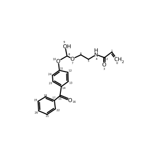 C=CC(=O)NCCOC(O)Oc1ccc(C(=O)c2ccccc2)cc1